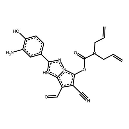 C=CCN(CC=C)C(=O)Oc1c(C#N)c(C=O)c2[nH]c(-c3ccc(O)c(N)c3)nn12